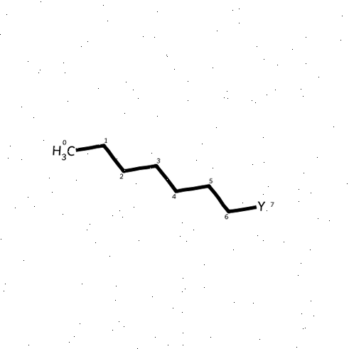 CCCCCC[CH2][Y]